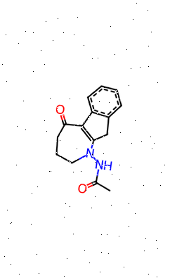 CC(=O)NN1CCCC(=O)C2=C1Cc1ccccc12